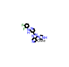 COc1cncc2nc(-c3ccnc(Nc4cccc(F)c4F)c3)nc(N3CCNCC3)c12